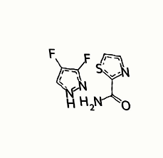 Fc1c[nH]nc1F.NC(=O)c1nccs1